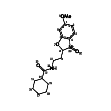 COc1ccc2c(c1)OC(CCNC(=O)C1CCCCC1)[N+]2=O